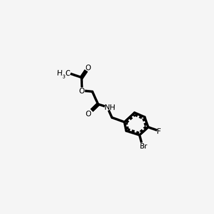 CC(=O)OCC(=O)NCc1ccc(F)c(Br)c1